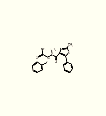 Cc1nc(C(=O)N(C)[C@H](Cc2ccccc2)C(N)=O)c(-c2ccccc2)s1